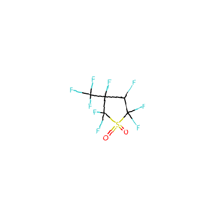 O=S1(=O)C(F)(F)C(F)C(F)(C(F)(F)F)C1(F)F